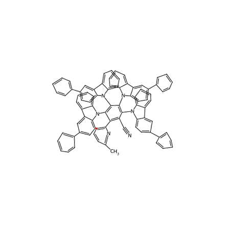 Cc1cccc(-c2c(C#N)c(-n3c4ccccc4c4cc(-c5ccccc5)ccc43)c(-n3c4ccccc4c4cc(-c5ccccc5)ccc43)c(-n3c4ccccc4c4cc(-c5ccccc5)ccc43)c2-n2c3ccccc3c3cc(-c4ccccc4)ccc32)n1